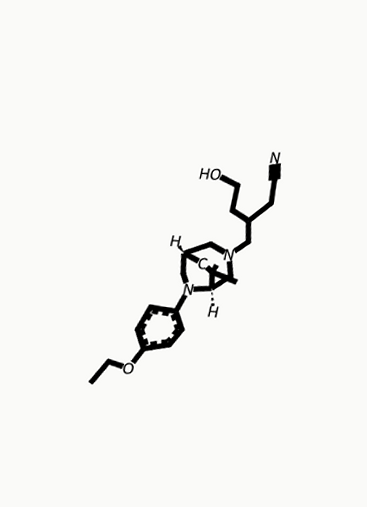 CCOc1ccc(N2C[C@H]3CN(CC(CC#N)CCO)C[C@@H]2C(C)(C)C3)cc1